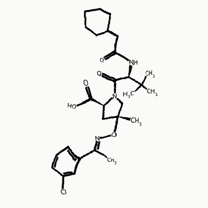 C/C(=N\O[C@]1(C)C[C@@H](C(=O)O)N(C(=O)[C@@H](NC(=O)CC2CCCCC2)C(C)(C)C)C1)c1cccc(Cl)c1